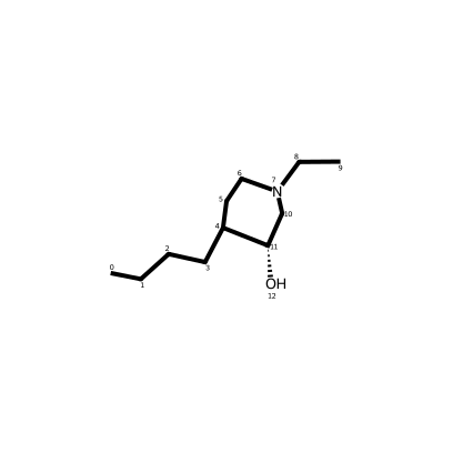 CCCCC1CCN(CC)C[C@@H]1O